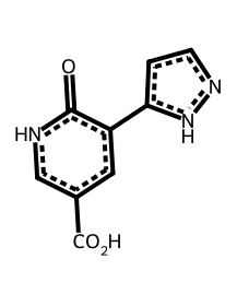 O=C(O)c1c[nH]c(=O)c(-c2ccn[nH]2)c1